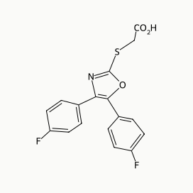 O=C(O)CSc1nc(-c2ccc(F)cc2)c(-c2ccc(F)cc2)o1